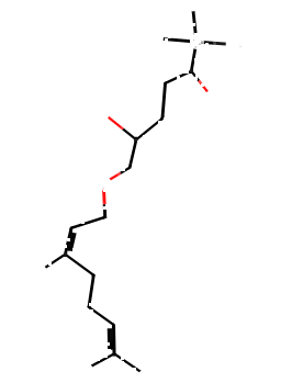 CC(C)=CCCC(C)=CCOCC(O)CCC(O)[Si](C)(C)C(C)(C)C